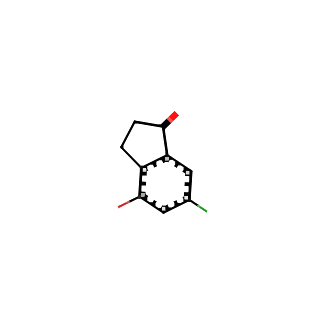 O=C1CCc2c(Br)cc(Cl)cc21